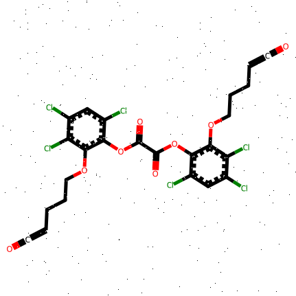 O=C=CCCCOc1c(Cl)c(Cl)cc(Cl)c1OC(=O)C(=O)Oc1c(Cl)cc(Cl)c(Cl)c1OCCCC=C=O